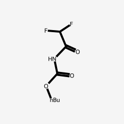 CCCCOC(=O)NC(=O)C(F)F